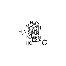 Nc1c(C2CC2)c(C2C[C@H]3CC[C@@H](C2)N3C(=O)c2nnc(N3CCC(O)C3)[nH]2)nc2c(-c3ccc(-c4ccccc4)nc3)cnn12